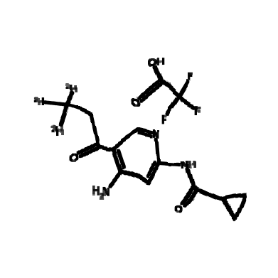 O=C(O)C(F)(F)F.[2H]C([2H])([2H])CC(=O)c1cnc(NC(=O)C2CC2)cc1N